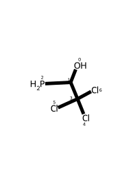 OC(P)C(Cl)(Cl)Cl